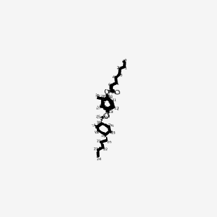 CCCCCCCC(=O)Oc1ccc(OC[C@H]2CC[C@H](CCCCC)CC2)cc1C